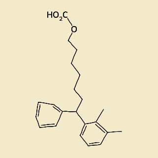 Cc1cccc(C(CCCCCCOC(=O)O)c2ccccc2)c1C